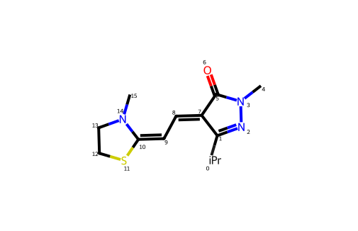 CC(C)C1=NN(C)C(=O)/C1=C/C=C1/SCCN1C